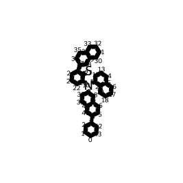 c1ccc(-c2ccc3cc(N(c4cccc5ccccc45)c4cccc5c4sc4c6ccccc6ccc54)ccc3c2)cc1